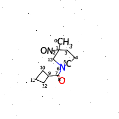 CC1(N=O)CCCN(C(=O)C2CCC2)C1